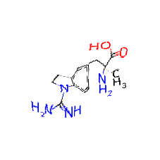 C[C@](N)(Cc1ccc2c(c1)CCN2C(=N)N)C(=O)O